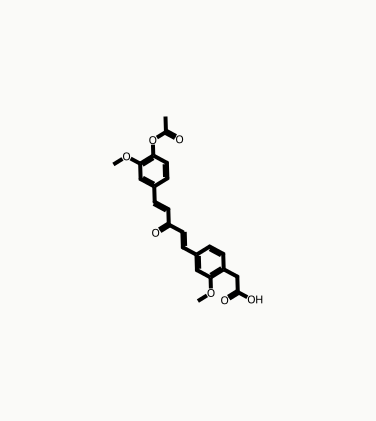 COc1cc(/C=C/C(=O)/C=C/c2ccc(OC(C)=O)c(OC)c2)ccc1CC(=O)O